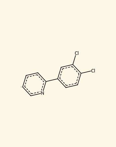 Clc1ccc(-c2cc[c]cn2)cc1Cl